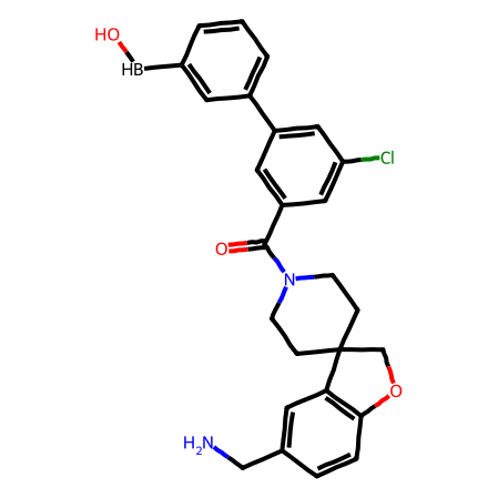 NCc1ccc2c(c1)C1(CCN(C(=O)c3cc(Cl)cc(-c4cccc(BO)c4)c3)CC1)CO2